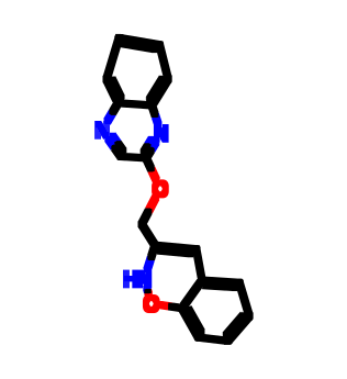 C1=C(COc2cnc3ccccc3n2)NOc2ccccc21